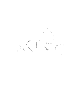 Br.NS(=O)(=O)c1ccc(C2CNCCc3c2cc(O)c(O)c3Cl)cc1